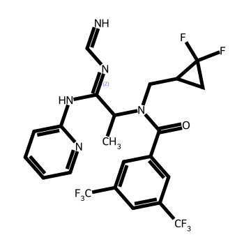 CC(/C(=N/C=N)Nc1ccccn1)N(CC1CC1(F)F)C(=O)c1cc(C(F)(F)F)cc(C(F)(F)F)c1